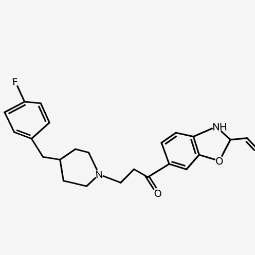 O=CC1Nc2ccc(C(=O)CCN3CCC(Cc4ccc(F)cc4)CC3)cc2O1